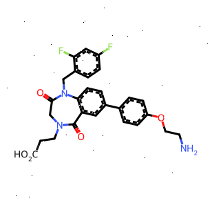 NCCOc1ccc(-c2ccc3c(c2)C(=O)N(CCC(=O)O)CC(=O)N3Cc2ccc(F)cc2F)cc1